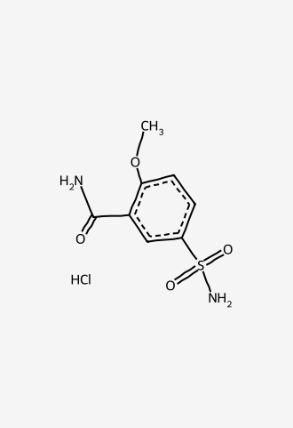 COc1ccc(S(N)(=O)=O)cc1C(N)=O.Cl